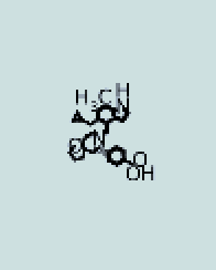 Cc1cc(CC2CC2)c(CN2CCC3(CCCO3)C[C@H]2c2ccc(C(=O)O)cc2)c2cc[nH]c12